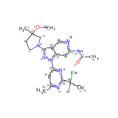 COC1(C)CCN(c2nn(-c3cc(C)nc(C(C)(F)F)n3)c3cc(NC(C)=O)ncc23)C1